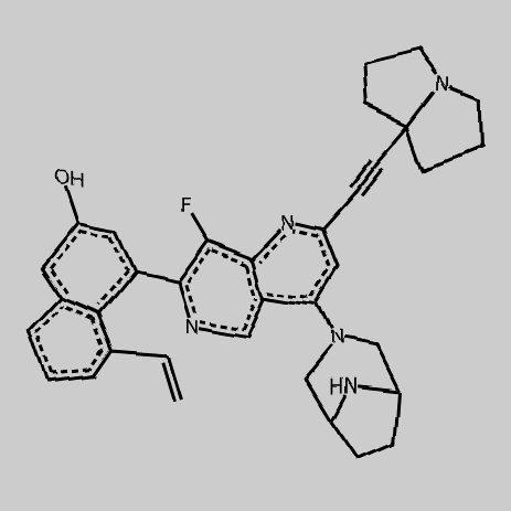 C=Cc1cccc2cc(O)cc(-c3ncc4c(N5CC6CCC(C5)N6)cc(C#CC56CCCN5CCC6)nc4c3F)c12